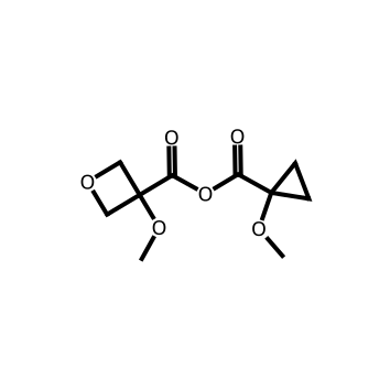 COC1(C(=O)OC(=O)C2(OC)COC2)CC1